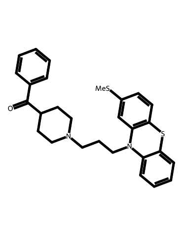 CSc1ccc2c(c1)N(CCCN1CCC(C(=O)c3ccccc3)CC1)c1ccccc1S2